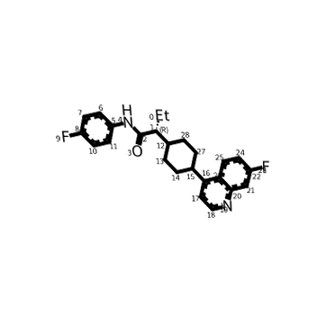 CC[C@@H](C(=O)Nc1ccc(F)cc1)C1CCC(c2ccnc3cc(F)ccc23)CC1